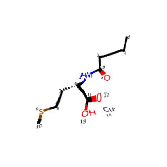 CCCC(=O)N[C@@H](CCSC)C(=O)O.[Cu]